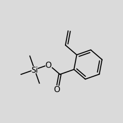 C=Cc1ccccc1C(=O)O[Si](C)(C)C